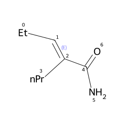 CC/C=C(\CCC)C(N)=O